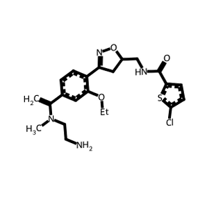 C=C(c1ccc(C2=NOC(CNC(=O)c3ccc(Cl)s3)C2)c(OCC)c1)N(C)CCN